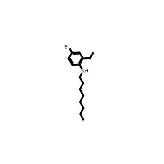 CCCCCCCCNc1ccc(Br)cc1CC